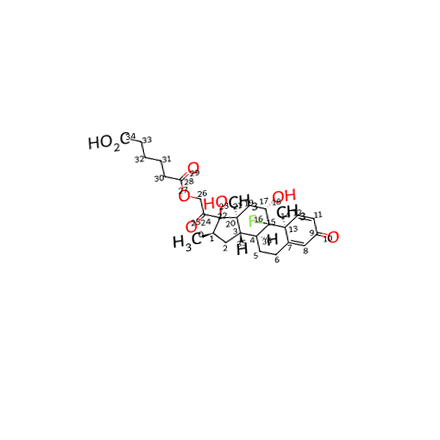 C[C@@H]1C[C@H]2[C@@H]3CCC4=CC(=O)C=C[C@]4(C)[C@@]3(F)[C@@H](O)C[C@]2(C)[C@@]1(O)C(=O)COC(=O)CCCCC(=O)O